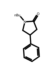 CCCCN1CC(c2ccccc2)CC1=O